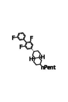 CCCCCC1CC[C@@H]2C[C@H](c3cc(F)c(-c4cccc(F)c4)c(F)c3)CC[C@@H]2C1